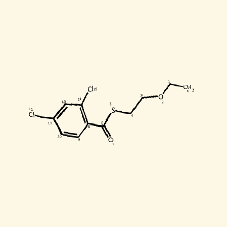 CCOCCSC(=O)c1ccc(Cl)cc1Cl